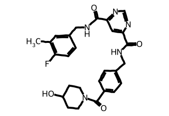 Cc1cc(CNC(=O)c2cc(C(=O)NCc3ccc(C(=O)N4CCC(O)CC4)cc3)ncn2)ccc1F